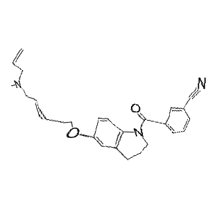 C=CCN(C)C/C=C/COc1ccc2c(c1)CCCN2C(=O)c1cccc(C#N)c1